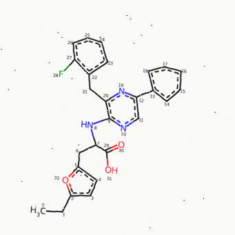 CCc1ccc(CC(Nc2ncc(-c3ccccc3)nc2Cc2ccccc2F)C(=O)O)o1